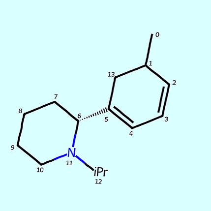 CC1C=CC=C([C@H]2CCCCN2C(C)C)C1